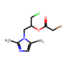 Cc1ncc([N+](=O)[O-])n1CC(CCl)OC(=O)CBr